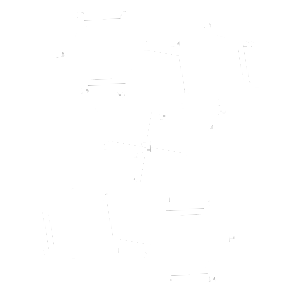 CC[Si](CC)(C1c2ccccc2-c2ccccc21)C1c2ccccc2-c2ccccc21